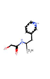 [O]CC(=O)NC(Cc1cccnc1)C(=O)O